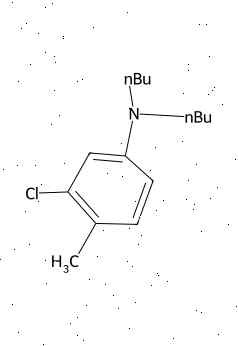 CCCCN(CCCC)c1ccc(C)c(Cl)c1